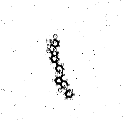 O=C1CCC(N2Cc3cc(C4CCN(Cc5cccc6c5CCN(c5ccccn5)C6=O)CC4)ccc3C2=O)C(=O)N1